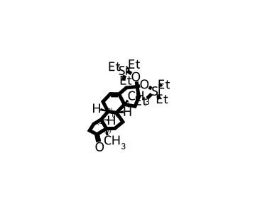 CC[Si](CC)(CC)OC1(O[Si](CC)(CC)CC)CC[C@@]2(C)C(=CC[C@@H]3[C@H]2CC[C@]2(C)C(=O)CC[C@@H]32)C1